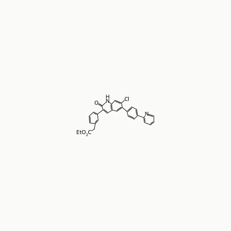 CCOC(=O)Cc1cccc(-c2cc3cc(-c4ccc(-c5ccccn5)cc4)c(Cl)cc3[nH]c2=O)c1